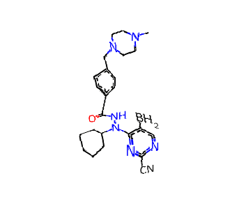 Bc1cnc(C#N)nc1N(NC(=O)c1ccc(CN2CCN(C)CC2)cc1)C1CCCCC1